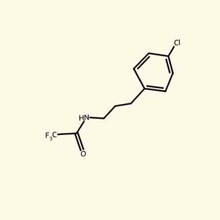 O=C(NCCCc1ccc(Cl)cc1)C(F)(F)F